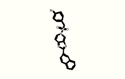 O=S(=O)(Cc1ccc(Br)cc1)n1ccc2nc(-c3ccc4ccccc4c3)nc-2c1